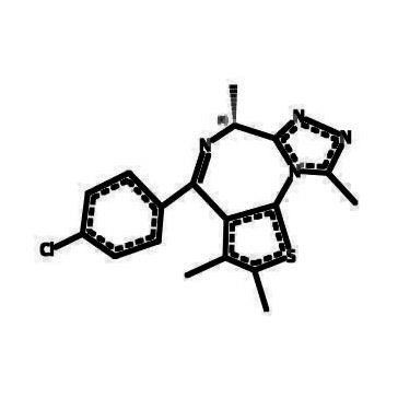 Cc1sc2c(c1C)C(c1ccc(Cl)cc1)=N[C@H](C)c1nnc(C)n1-2